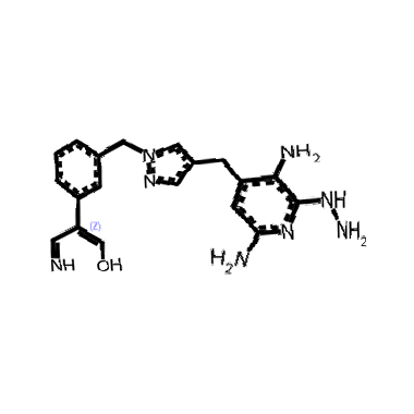 N=C/C(=C\O)c1cccc(Cn2cc(Cc3cc(N)nc(NN)c3N)cn2)c1